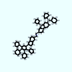 C(=C\c1ccc2c3ccc(N(c4ccccc4)c4ccccc4)cc3n(-c3ccccc3)c2c1)/c1ccc2cc(-c3cc(-c4ccccc4)c(-c4ccccc4)c(-c4ccccc4)c3-c3ccccc3)ccc2c1